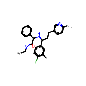 Cc1cc(C(CCc2ccc(C(F)(F)F)nc2)NC(C(=O)NCC(C)C)c2ccccc2)ccc1F